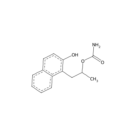 CC(Cc1c(O)ccc2ccccc12)OC(N)=O